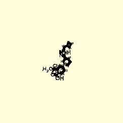 CC(C)(C)C1CC(N2CCCC(c3nnc(CC4CCC4)[nH]3)C2)CCN1C(=O)O